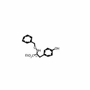 CCOC(=O)[C@H](Cc1ccc(O)cc1)NOCc1ccccc1